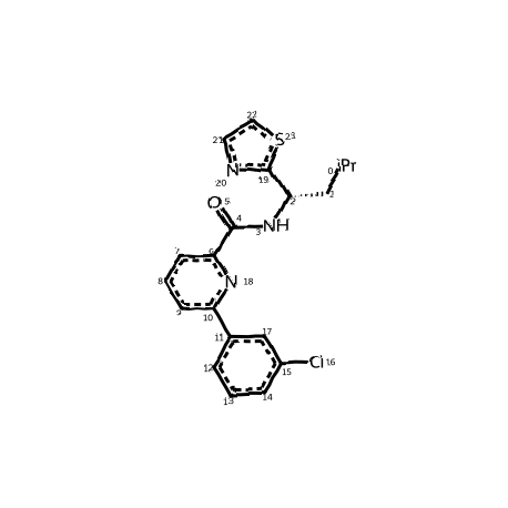 CC(C)C[C@H](NC(=O)c1cccc(-c2cccc(Cl)c2)n1)c1nccs1